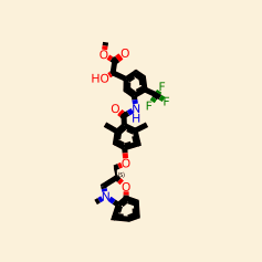 COC(=O)C(O)c1ccc(C(F)(F)F)c(NC(=O)c2c(C)cc(OC[C@@H]3CN(C)c4ccccc4O3)cc2C)c1